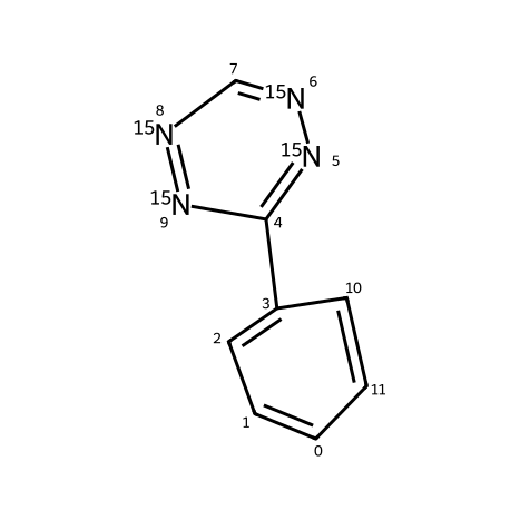 c1ccc(-c2[15n][15n]c[15n][15n]2)cc1